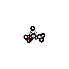 O=C(c1c(Cc2ccccc2)c(-c2ccccc2)nn1-c1ccccc1)c1c(Cc2ccccc2)c(-c2ccccc2)nn1-c1ccccc1